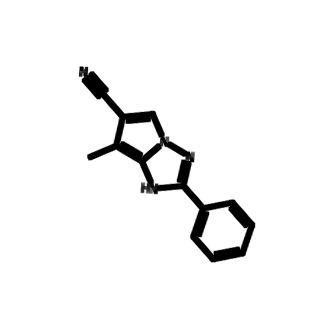 Cc1c(C#N)cn2nc(-c3ccccc3)[nH]c12